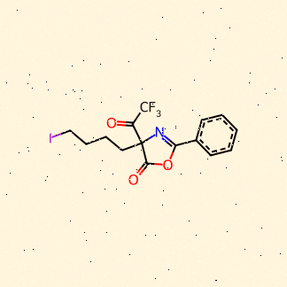 O=C1OC(c2ccccc2)=NC1(CCCCI)C(=O)C(F)(F)F